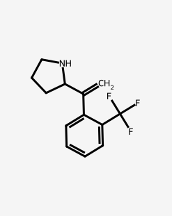 C=C(c1ccccc1C(F)(F)F)C1CCCN1